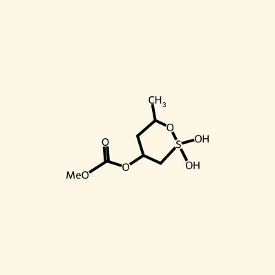 COC(=O)OC1CC(C)OS(O)(O)C1